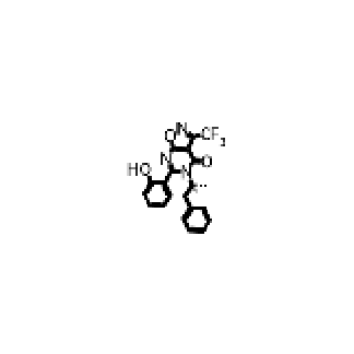 C[C@H](Cc1ccccc1)n1c(-c2ccccc2O)nc2onc(C(F)(F)F)c2c1=O